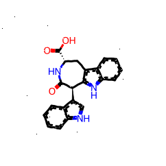 O=C1N[C@H](C(=O)O)Cc2c([nH]c3ccccc23)[C@H]1c1c[nH]c2ccccc12